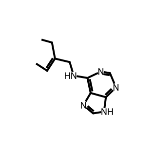 CC=C(CC)CNc1ncnc2[nH]cnc12